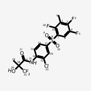 Cc1c(F)c(F)cc(S(=O)(=O)c2ccc(NC(=O)C(C)(O)C(F)(F)F)c(Cl)c2)c1F